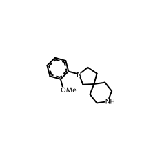 COc1ccccc1N1CCC2(CCNCC2)C1